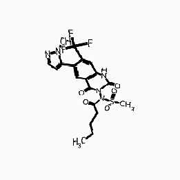 CCCCC(=O)N(n1c(=O)[nH]c2cc(C(F)(F)F)c(-c3ccnn3C)cc2c1=O)S(C)(=O)=O